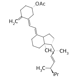 C=C1CC[C@H](OC(C)=O)CC1=CC=C1CCC[C@@]2(C)C1CC[C@@H]2[C@H](C)C=C[C@H](C)C(C)C